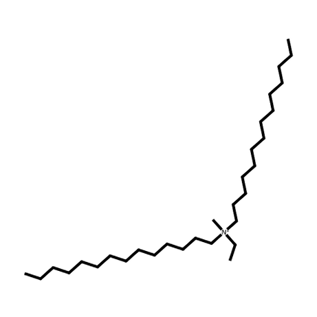 CCCCCCCCCCCCCC[N+](C)(CC)CCCCCCCCCCCCCC